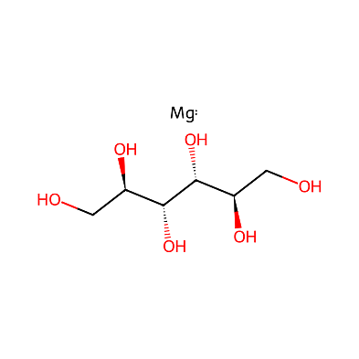 OC[C@@H](O)[C@@H](O)[C@H](O)[C@H](O)CO.[Mg]